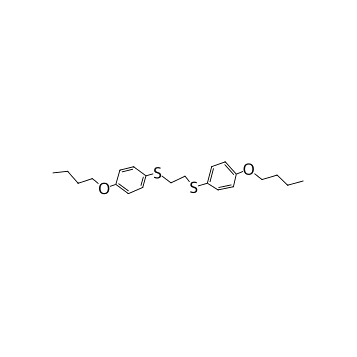 CCCCOc1ccc(SCCSc2ccc(OCCCC)cc2)cc1